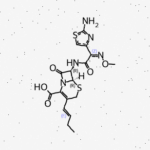 CC/C=C/C1=C(C(=O)O)N2C(=O)[C@@H](NC(=O)/C(=N\OC)c3csc(N)n3)[C@H]2SC1